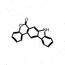 O=c1oc2ccccc2c2cc3c(cc12)[nH]c1ccccc13